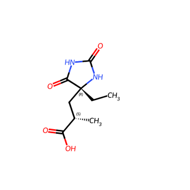 CC[C@]1(C[C@H](C)C(=O)O)NC(=O)NC1=O